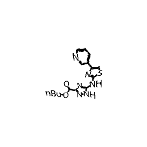 CCCCOC(=O)c1n[nH]c(Nc2nc(-c3cccnc3)cs2)n1